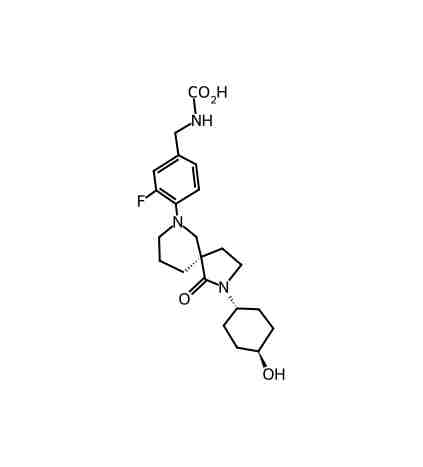 O=C(O)NCc1ccc(N2CCC[C@@]3(CCN([C@H]4CC[C@H](O)CC4)C3=O)C2)c(F)c1